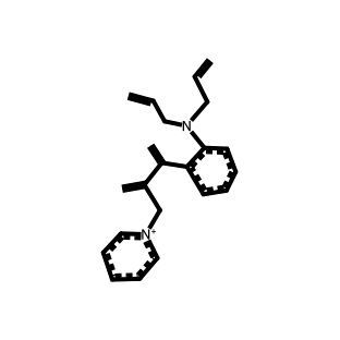 C=CCN(CC=C)c1ccccc1C(=C)C(=C)C[n+]1ccccc1